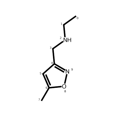 CCNCc1cc(C)on1